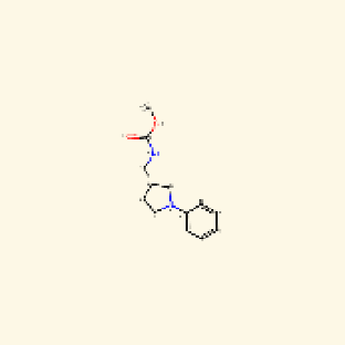 CC(C)(C)OC(=O)NC[C@H]1CCN(c2ccccc2)C1